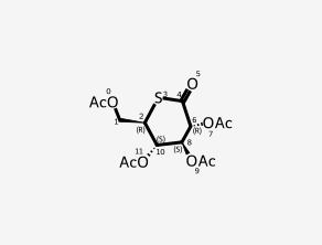 CC(=O)OC[C@H]1SC(=O)[C@H](OC(C)=O)[C@@H](OC(C)=O)[C@@H]1OC(C)=O